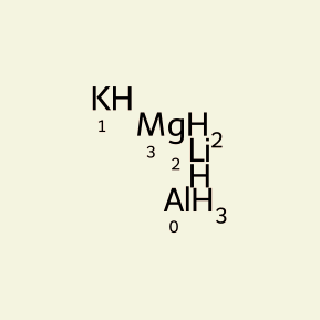 [AlH3].[KH].[LiH].[MgH2]